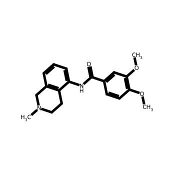 COc1ccc(C(=O)Nc2cccc3c2CCN(C)C3)cc1OC